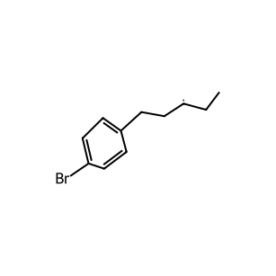 CC[CH]CCc1ccc(Br)cc1